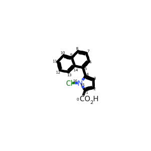 O=C(O)c1ccc(-c2cccc3ccccc23)n1Cl